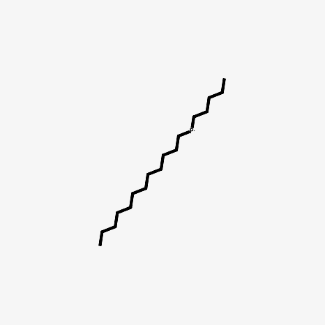 CCCCCCCCCCCC[P]CCCCC